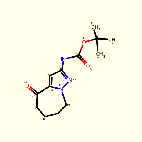 CC(C)(C)OC(=O)Nc1cc2n(n1)CCCCC2=O